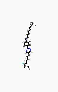 CCCCCCC/C=C/c1ccc(-c2ncc(CCCCCC(C)F)cn2)cc1